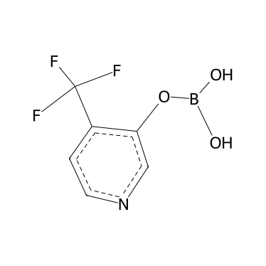 OB(O)Oc1cnccc1C(F)(F)F